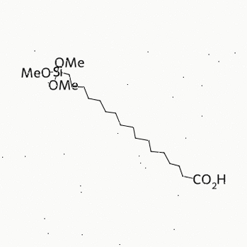 CO[Si](CCCCCCCCCCCCCCCCC(=O)O)(OC)OC